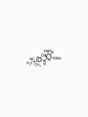 COc1nc(Nc2cn(C(C)(C)C#N)nc2C)nc2[nH]cnc12